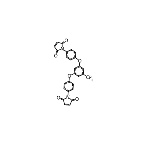 O=C1C=CC(=O)N1c1ccc(Oc2cc(Oc3ccc(N4C(=O)C=CC4=O)cc3)cc(C(F)(F)F)c2)cc1